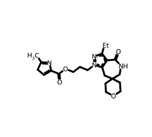 CCc1nn(CCCOC(=O)C2=CCC(C)=N2)c2c1C(=O)NCC1(CCOCC1)C2